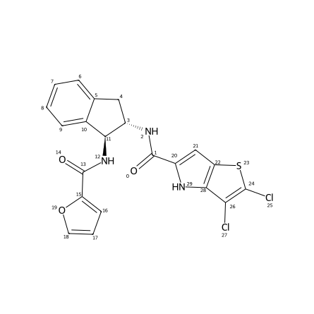 O=C(N[C@H]1Cc2ccccc2[C@@H]1NC(=O)c1ccco1)c1cc2sc(Cl)c(Cl)c2[nH]1